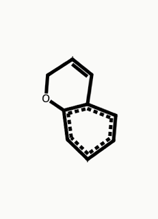 [C]1=Cc2cc[c]cc2OC1